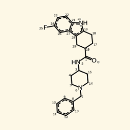 O=C(NC1CCN(Cc2ccccc2)CC1)C1CCc2[nH]c3ccc(F)cc3c2C1